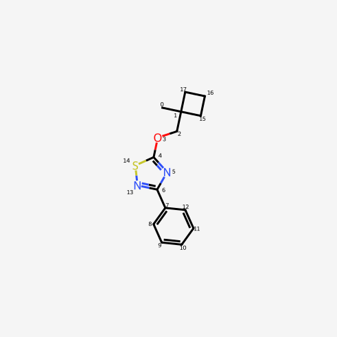 CC1(COc2nc(-c3ccccc3)ns2)CCC1